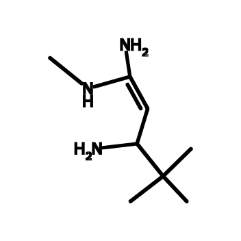 CN/C(N)=C\C(N)C(C)(C)C